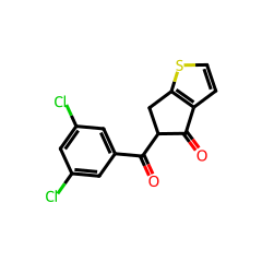 O=C(c1cc(Cl)cc(Cl)c1)C1Cc2sccc2C1=O